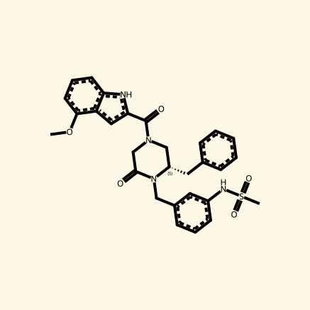 COc1cccc2[nH]c(C(=O)N3CC(=O)N(Cc4cccc(NS(C)(=O)=O)c4)[C@@H](Cc4ccccc4)C3)cc12